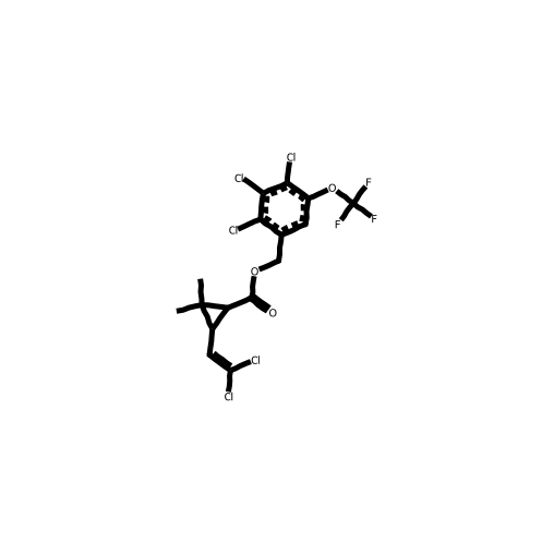 CC1(C)C(C=C(Cl)Cl)C1C(=O)OCc1cc(OC(F)(F)F)c(Cl)c(Cl)c1Cl